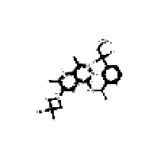 COCC(F)(F)c1cccc([C@@H](C)Nc2nnc(C)c3nc(C)c(N4CC(C)(O)C4)cc23)c1